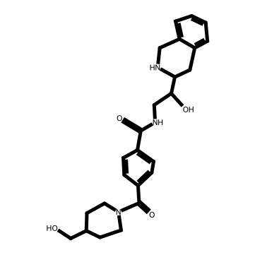 O=C(NCC(O)C1Cc2ccccc2CN1)c1ccc(C(=O)N2CCC(CO)CC2)cc1